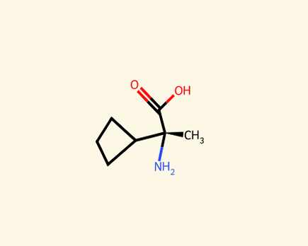 C[C@](N)(C(=O)O)C1CCC1